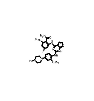 COc1cc(N2CCN(C(C)C)CC2)ccc1Nc1nc(Nc2cc(F)cc(OC)c2C(N)=O)c2ccnc-2[nH]1